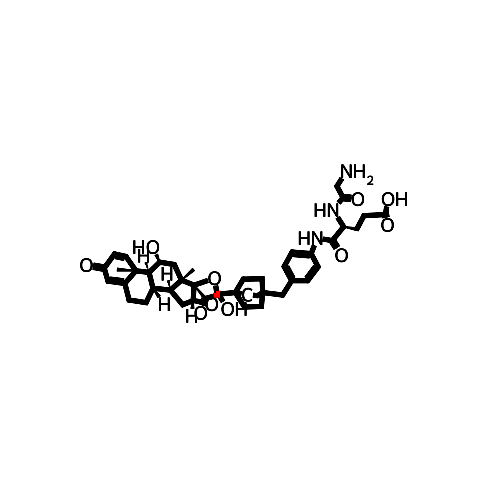 C[C@]12C=CC(=O)C=C1CC[C@@H]1[C@@H]2[C@@H](O)C[C@@]2(C)[C@H]1C[C@H]1O[C@@H](C34CCC(Cc5ccc(NC(=O)[C@H](CCC(=O)O)NC(=O)CN)cc5)(CC3)CC4)O[C@]12C(=O)CO